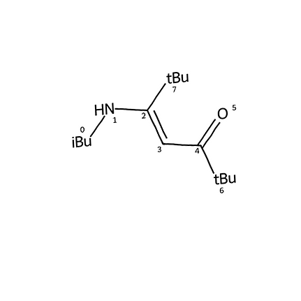 CCC(C)NC(=CC(=O)C(C)(C)C)C(C)(C)C